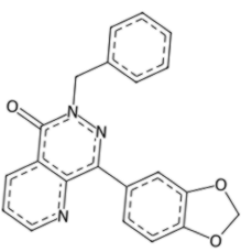 O=c1c2cccnc2c(-c2ccc3c(c2)OCO3)nn1Cc1ccccc1